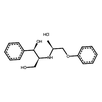 C[C@@H](COc1ccccc1)N[C@@H](CO)[C@H](O)c1ccccc1.Cl